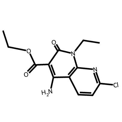 CCOC(=O)c1c(N)c2ccc(Cl)nc2n(CC)c1=O